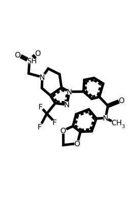 CN(C(=O)c1cccc(-n2nc(C(F)(F)F)c3c2CCN(C[SH](=O)=O)C3)c1)c1ccc2c(c1)OCO2